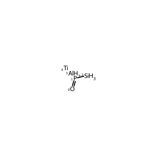 O=P[SiH3].[AlH3].[Ti]